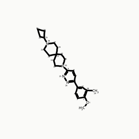 COc1ccc(-c2ccc(N3CCC4(CC3)CCN(C3CCC3)CC4)nn2)cc1C